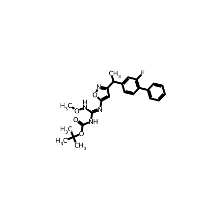 CONC(=Nc1cc(C(C)c2ccc(-c3ccccc3)c(F)c2)no1)NC(=O)OC(C)(C)C